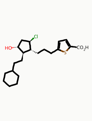 O=C(O)c1ccc(CCC[C@@H]2[C@@H](CCC3CCCCC3)[C@H](O)C[C@H]2Cl)s1